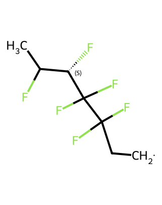 [CH2]CC(F)(F)C(F)(F)[C@@H](F)C(C)F